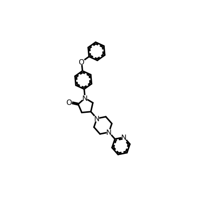 O=C1CC(N2CCN(c3ccccn3)CC2)CN1c1ccc(Oc2ccccc2)cc1